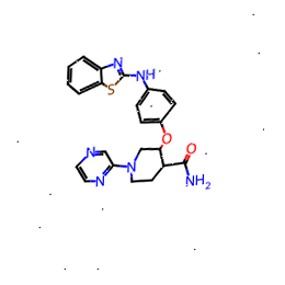 NC(=O)C1CCN(c2cnccn2)CC1Oc1ccc(Nc2nc3ccccc3s2)cc1